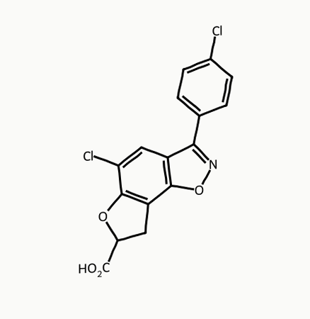 O=C(O)C1Cc2c(c(Cl)cc3c(-c4ccc(Cl)cc4)noc23)O1